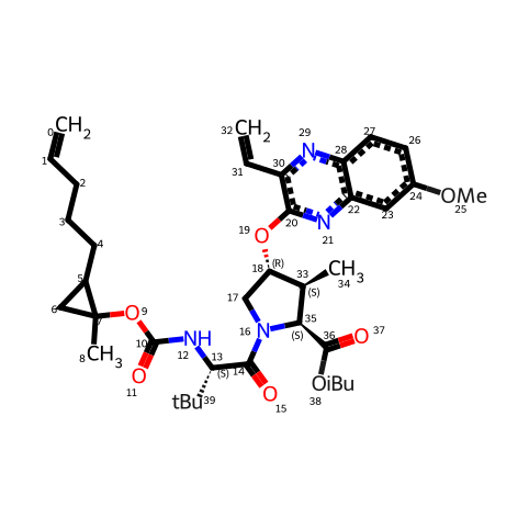 C=CCCCC1CC1(C)OC(=O)N[C@H](C(=O)N1C[C@H](Oc2nc3cc(OC)ccc3nc2C=C)[C@@H](C)[C@H]1C(=O)OCC(C)C)C(C)(C)C